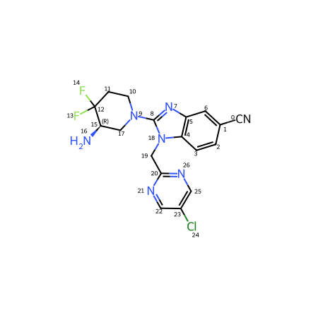 N#Cc1ccc2c(c1)nc(N1CCC(F)(F)[C@H](N)C1)n2Cc1ncc(Cl)cn1